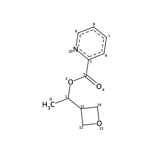 CC(OC(=O)c1ccccn1)C1COC1